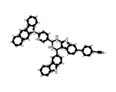 N#Cc1ccc(-c2ccc3c4c(oc3c2)NC(c2ccc(-n3c5ccccc5c5cc6ccccc6cc53)nc2)NC4c2ccc3oc4ccccc4c3c2)cc1